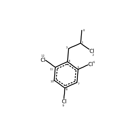 CC(Cl)Cc1c(Cl)cc(Cl)cc1Cl